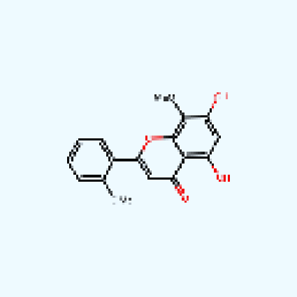 COc1ccccc1-c1cc(=O)c2c(O)cc(O)c(OC)c2o1